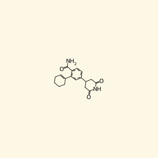 NC(=O)c1ccc(C2CC(=O)NC(=O)C2)cc1C1=CCCCC1